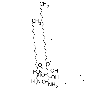 CCCCCCCCCCCCCCCC/C=C/N.CCCCCCCCCCCCCCCC/C=C/O[C@@H](C(N)=O)[C@@H](O)[C@H](O)[C@H](O)C(N)=O